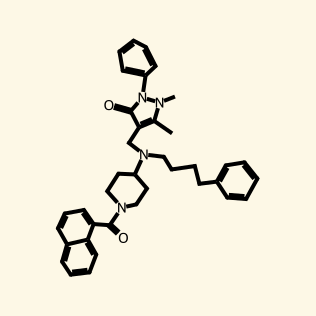 Cc1c(CN(CCCCc2ccccc2)C2CCN(C(=O)c3cccc4ccccc34)CC2)c(=O)n(-c2ccccc2)n1C